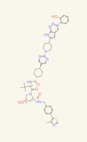 Cc1ncsc1-c1ccc(CNC(=O)[C@@H]2C[C@@H](O)CN2C(=O)[C@@H](NC(=O)[C@H]2CC[C@H](c3cnc(N4CCC(c5cc6cc(-c7ccccc7O)nnc6[nH]5)CC4)nc3)CC2)C(C)(C)C)cc1